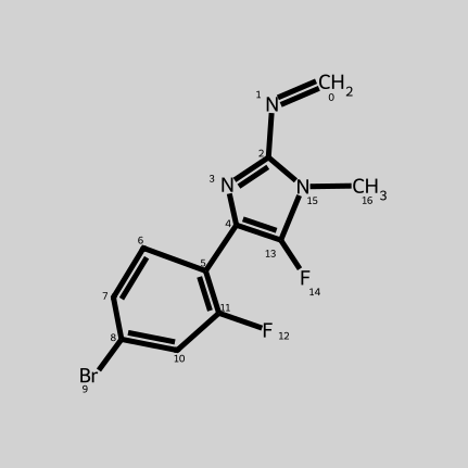 C=Nc1nc(-c2ccc(Br)cc2F)c(F)n1C